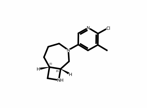 Cc1cc(N2CCC[C@H]3CN[C@H]3C2)cnc1Cl